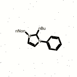 CCCCCCCCCN1C=CN(c2ccccc2)C1CCCC